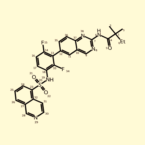 CCC(C)(C)C(=O)Nc1ncc2cc(-c3c(F)ccc(NS(=O)(=O)c4cccc5cnccc45)c3F)ccc2n1